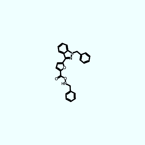 O=C(ONCc1ccccc1)c1ccc(-c2nn(Cc3ccccc3)c3ccccc23)o1